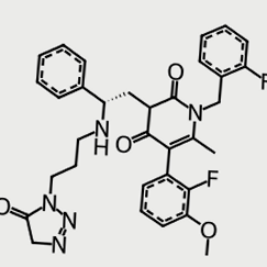 COc1cccc(C2=C(C)N(Cc3ccccc3F)C(=O)C(C[C@H](NCCCN3N=NCC3=O)c3ccccc3)C2=O)c1F